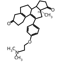 CN(C)CCOc1ccc(C2=C3C4=C(CCC3C3CCC(=O)[C@@]3(C)C2)CC(=O)CC4)cc1